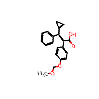 COCOc1ccc(/C(C(=O)O)=C(\c2ccccc2)C2CC2)cc1